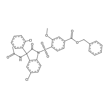 COc1cc(C(=O)OCc2ccccc2)ccc1S(=O)(=O)N1C(=O)C(NC(C)=O)(c2ccccc2Cl)c2cc(Cl)ccc21